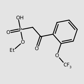 CCOP(=O)(O)CC(=O)c1ccccc1OC(F)(F)F